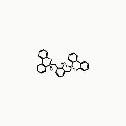 O=P1(Cc2cccc(CP3(=O)Oc4ccccc4-c4ccccc43)c2O)Oc2ccccc2C2=C1C=CCC2